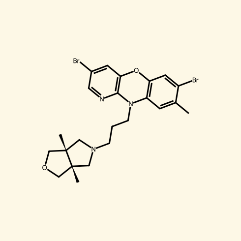 Cc1cc2c(cc1Br)Oc1cc(Br)cnc1N2CCCN1C[C@]2(C)COC[C@]2(C)C1